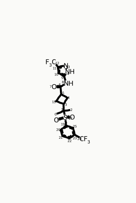 CC(C)(C1CC(C(=O)Nc2cc(C(F)(F)F)n[nH]2)C1)S(=O)(=O)c1cccc(C(F)(F)F)c1